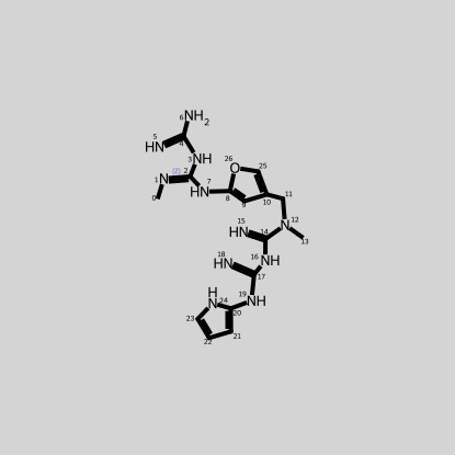 C/N=C(/NC(=N)N)Nc1cc(CN(C)C(=N)NC(=N)Nc2ccc[nH]2)co1